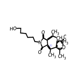 CC(C)=C1C(=O)N(CCCCCCO)C(=O)/C1=C(\C)c1cc(C)oc1C